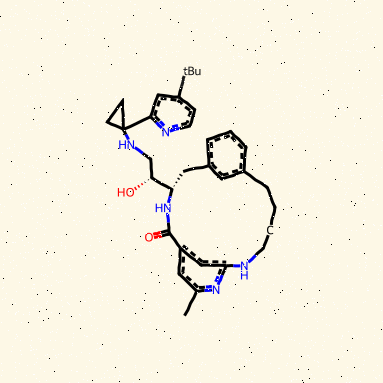 Cc1cc2cc(n1)NCCCCc1cccc(c1)C[C@@H]([C@H](O)CNC1(c3cc(C(C)(C)C)ccn3)CC1)NC2=O